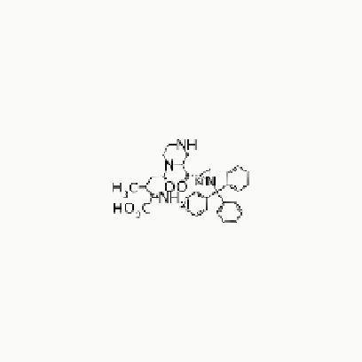 CC(CC(=O)N1CCNCC1C(=O)[C@@H]1CN1C(c1ccccc1)(c1ccccc1)c1ccccc1)[C@H](N)C(=O)O